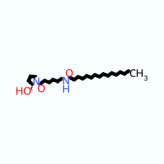 CCCCCCCCCCCCCCCC(=O)NCCCCCC(=O)N1CCC[C@H]1CO